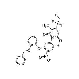 Cn1c(C(F)(F)CF)cc(=O)n(-c2cc(Oc3ccccc3OCc3ccccc3)c([N+](=O)[O-])cc2F)c1=O